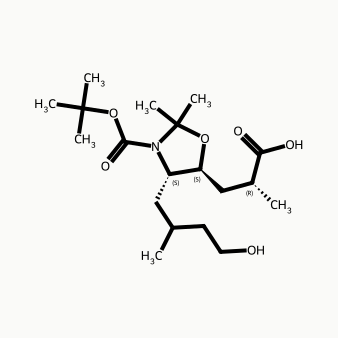 CC(CCO)C[C@H]1[C@H](C[C@@H](C)C(=O)O)OC(C)(C)N1C(=O)OC(C)(C)C